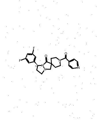 O=C(c1ccncc1)N1CCC2(CC1)CN1CC[C@@H](c3cc(F)cc(F)c3)N1C2=O